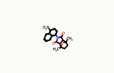 CC12CCC(C)(O1)C1C(=O)N(c3ccc([N+](=O)[O-])c4ccccc34)C(=O)C12